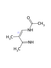 CC(=N)/C(C)=C\NC(C)=O